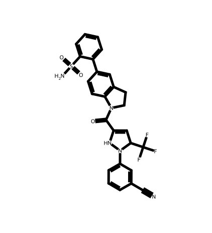 N#Cc1cccc(N2NC(C(=O)N3CCc4cc(-c5ccccc5S(N)(=O)=O)ccc43)=CC2C(F)(F)F)c1